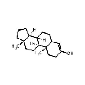 C[C@@]12CCC[C@H]1[C@@H]1CCC3C=C(O)CC[C@]3(C)[C@H]1CC2